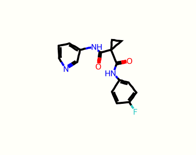 O=C(Nc1ccc(F)cc1)C1(C(=O)Nc2cccnc2)CC1